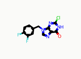 O=c1[nH]c(Cl)nc2c1ncn2Cc1ccc(F)c(F)c1